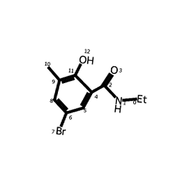 CCNC(=O)c1cc(Br)cc(C)c1O